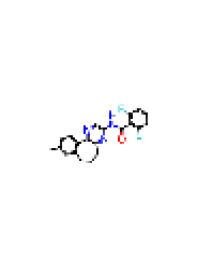 Cc1ccc2c(c1)CCCc1nc(NC(=O)c3c(F)cccc3F)cnc1-2